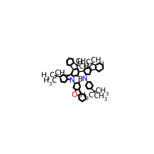 CC(C)(C)c1ccc(N2B3c4cc5c(cc4-n4c6ccc(C(C)(C)C)cc6c6c7c(c(c3c64)-c3cc4c(cc32)-c2ccccc2C4(C)C)C(C)(C)c2ccccc2-7)oc2ccccc25)cc1